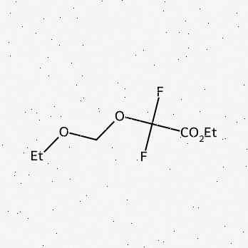 CCOCOC(F)(F)C(=O)OCC